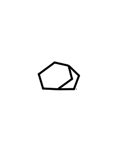 [CH]1CC2CCCC1C2